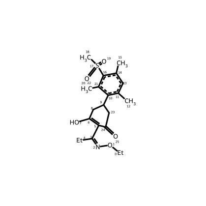 CCO/N=C(/CC)C1=C(O)CC(c2c(C)cc(C)c(S(C)(=O)=O)c2C)CC1=O